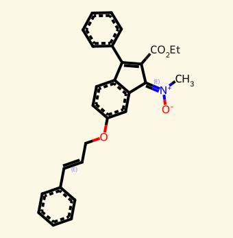 CCOC(=O)C1=C(c2ccccc2)c2ccc(OC/C=C/c3ccccc3)cc2/C1=[N+](/C)[O-]